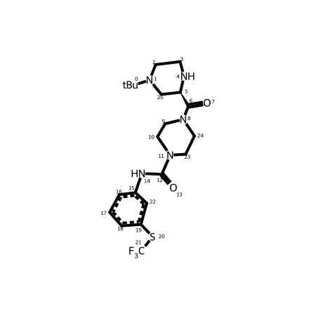 CC(C)(C)N1CCN[C@@H](C(=O)N2CCN(C(=O)Nc3cccc(SC(F)(F)F)c3)CC2)C1